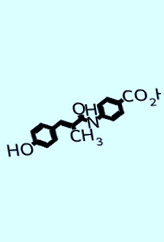 C/C(=C\c1ccc(O)cc1)C(=O)Nc1ccc(C(=O)O)cc1